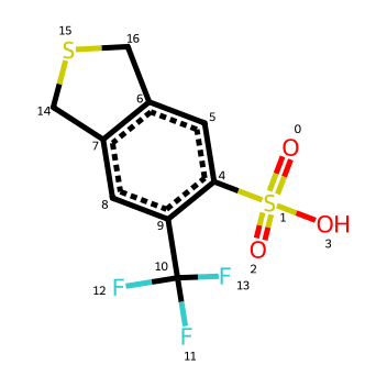 O=S(=O)(O)c1cc2c(cc1C(F)(F)F)CSC2